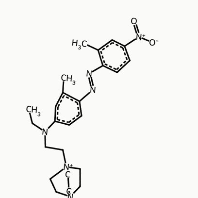 CCN(CC[N+]12CCN(CC1)CC2)c1ccc(/N=N/c2ccc([N+](=O)[O-])cc2C)c(C)c1